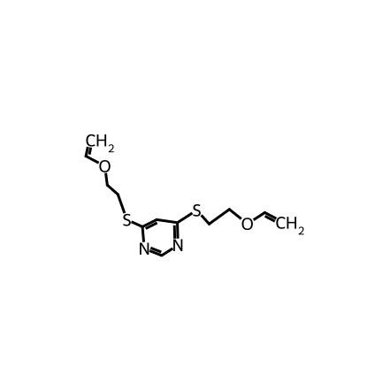 C=COCCSc1cc(SCCOC=C)ncn1